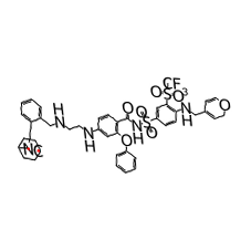 O=C(NS(=O)(=O)c1ccc(NCC2=CCOC=C2)c(S(=O)(=O)C(F)(F)F)c1)c1ccc(NCCNCc2ccccc2N2CC3CCC(CC3)C2)cc1Oc1ccccc1